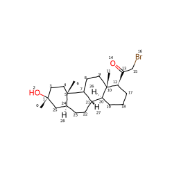 C[C@@]1(O)CC[C@]2(C)C3CC[C@]4(C)[C@@H](C(=O)CBr)CCC[C@H]4[C@@H]3CC[C@H]2C1